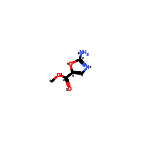 COC(=O)c1cnc(N)o1